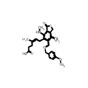 CNc1c(CC=C(C)CCC(=O)O)c(COCc2ccc(OC)cc2)c(C)c2c1C(=O)OC2